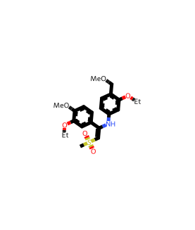 CCOc1cc(NC(=CS(C)(=O)=O)c2ccc(OC)c(OCC)c2)ccc1COC